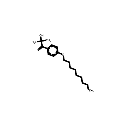 CCCCCCCCCCCCCCCCCCOc1ccc(C(=O)C(C)(C)O)cc1